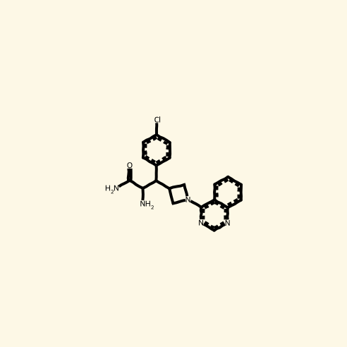 NC(=O)C(N)C(c1ccc(Cl)cc1)C1CN(c2ncnc3ccccc23)C1